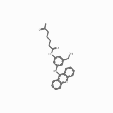 CC(=O)CCCCC(=O)Nc1cc(CO)cc(Nc2c3ccccc3nc3ccccc23)c1